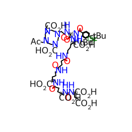 CC(=O)CN1CCN(CC(=O)O)CCN(CC(=O)N[C@H](CNC(=O)c2ccc([Si]([19F])(C(C)(C)C)C(C)(C)C)cc2)C(=O)N[C@H](CCCCNC(=O)CCC(=O)NCCC[C@@H](NC(=O)CC[C@H](NC(=O)N[C@@H](CCC(=O)O)C(=O)O)C(=O)O)C(=O)O)C(=O)O)CCN(CC(=O)O)CC1